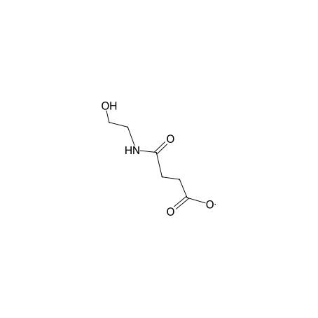 [O]C(=O)CCC(=O)NCCO